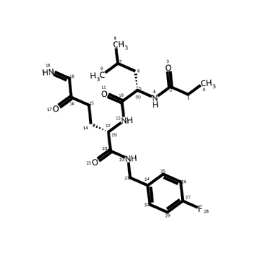 CCC(=O)N[C@@H](CC(C)C)C(=O)N[C@@H](CCC(=O)C=N)C(=O)NCc1ccc(F)cc1